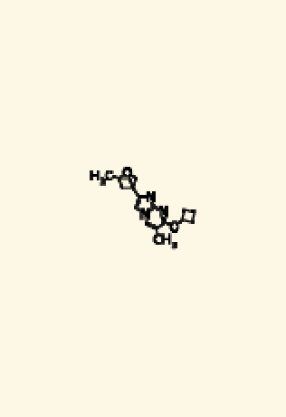 Cc1cn2cc(C34COC(C)(C3)C4)nc2nc1OC1CCC1